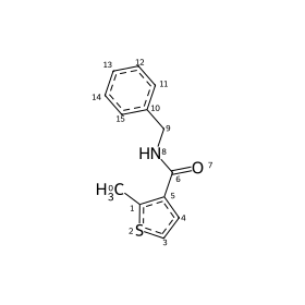 Cc1sccc1C(=O)NCc1ccccc1